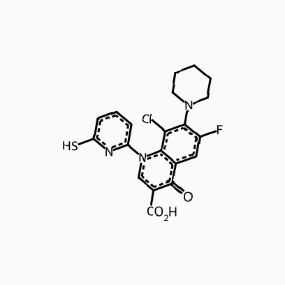 O=C(O)c1cn(-c2cccc(S)n2)c2c(Cl)c(N3CCCCC3)c(F)cc2c1=O